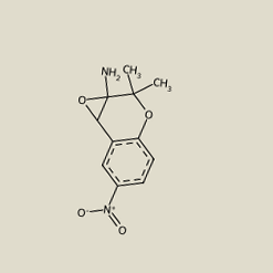 CC1(C)Oc2ccc([N+](=O)[O-])cc2C2OC21N